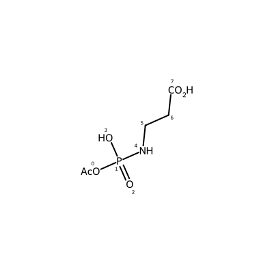 CC(=O)OP(=O)(O)NCCC(=O)O